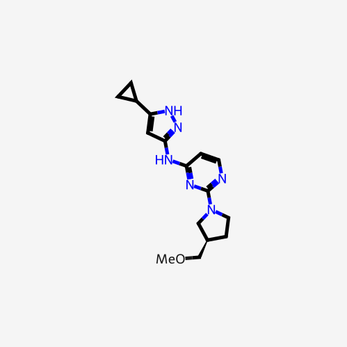 COC[C@@H]1CCN(c2nccc(Nc3cc(C4CC4)[nH]n3)n2)C1